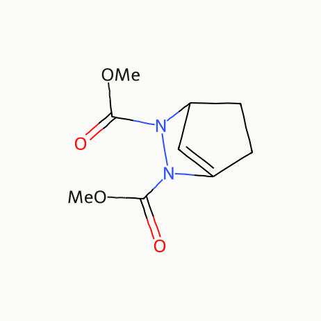 COC(=O)N1C2=CC(CC2)N1C(=O)OC